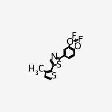 Cc1ccsc1-c1cnc(-c2ccc3c(c2)OC(F)(F)O3)s1